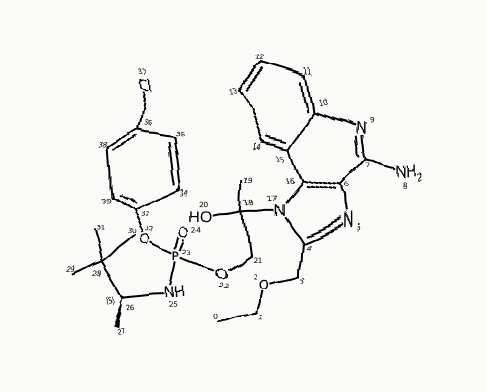 CCOCc1nc2c(N)nc3ccccc3c2n1C(C)(O)COP(=O)(N[C@@H](C)C(C)(C)C)Oc1ccc(Cl)cc1